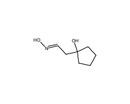 ON=CCC1(O)CCCC1